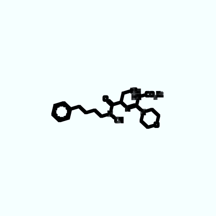 CCOC(=O)NC(=NC(CC(C)(C)C)C(=O)N(C#N)CCCCc1ccccc1)N1CCOCC1